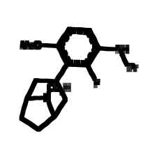 COc1ccc(NC(C)C)c(F)c1C1CC2CCC(C1)N2C(=O)O